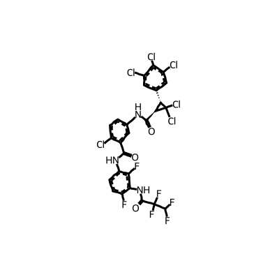 O=C(Nc1ccc(F)c(NC(=O)C(F)(F)C(F)F)c1F)c1cc(NC(=O)[C@H]2[C@H](c3cc(Cl)c(Cl)c(Cl)c3)C2(Cl)Cl)ccc1Cl